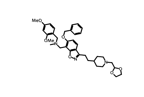 COc1ccc(CN(C)Cc2c(OCc3ccccc3)ccc3c(CCC4CCN(CC5OCCO5)CC4)noc23)c(OC)c1